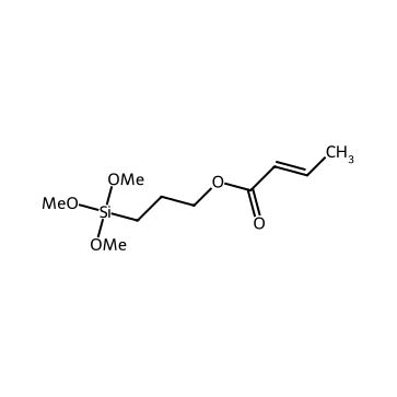 C/C=C/C(=O)OCCC[Si](OC)(OC)OC